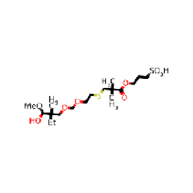 CCC(C)(COCOCCSCC(C)(C)C(=O)OCCCS(=O)(=O)O)C(O)OC